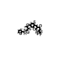 CC(C)C(Sc1cc(/C=C2/C(=O)C=C(C(F)(F)F)N(C)C2=O)c(F)cc1Cl)C(=O)NCC1CCCO1